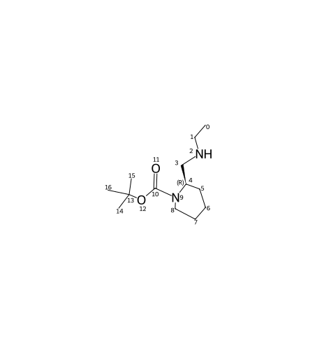 CCNC[C@H]1CCCCN1C(=O)OC(C)(C)C